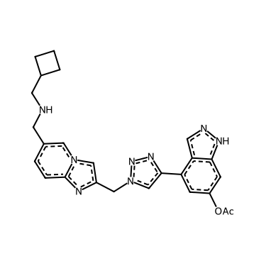 CC(=O)Oc1cc(-c2cn(Cc3cn4cc(CNCC5CCC5)ccc4n3)nn2)c2cn[nH]c2c1